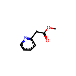 COC(=O)[CH]c1ccccn1